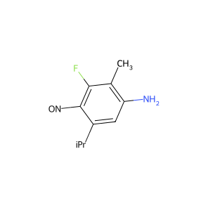 Cc1c(N)cc(C(C)C)c(N=O)c1F